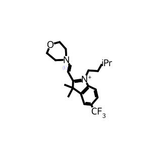 CC(C)CC[N+]1=C(/C=C/N2CCOCC2)C(C)(C)c2cc(C(F)(F)F)ccc21